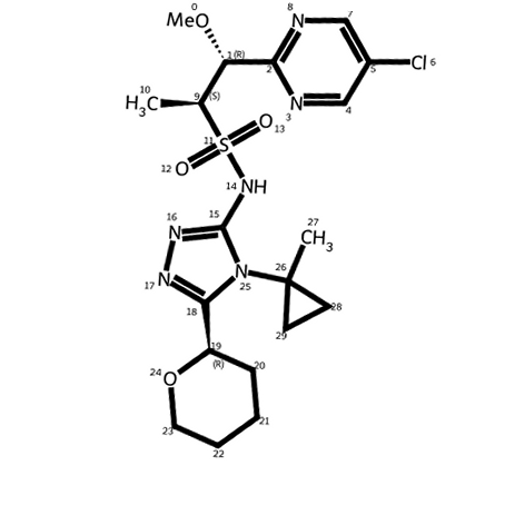 CO[C@H](c1ncc(Cl)cn1)[C@H](C)S(=O)(=O)Nc1nnc([C@H]2CCCCO2)n1C1(C)CC1